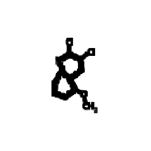 COc1cccc2nc(Cl)c(Cl)cc12